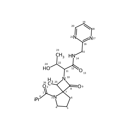 CC(C)C(=O)N1CCCC12C(=O)N(C(C(=O)NCc1ncccn1)C(C)O)C2C